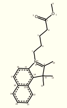 COC(=O)CCCC[N+]1=C(C)C(C)(C)c2c1ccc1ccccc21